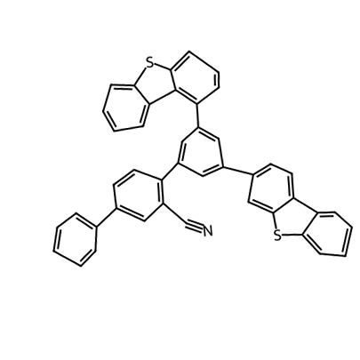 N#Cc1cc(-c2ccccc2)ccc1-c1cc(-c2ccc3c(c2)sc2ccccc23)cc(-c2cccc3sc4ccccc4c23)c1